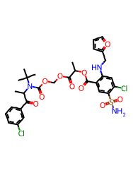 CC(OC(=O)c1cc(S(N)(=O)=O)c(Cl)cc1NCc1ccco1)C(=O)OCOC(=O)N(C(C)C(=O)c1cccc(Cl)c1)C(C)(C)C